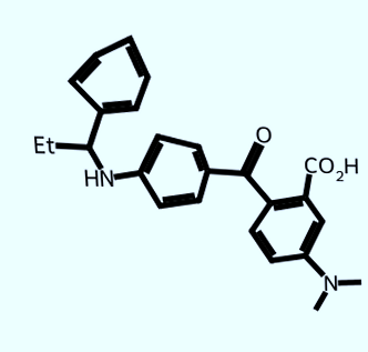 CCC(Nc1ccc(C(=O)c2ccc(N(C)C)cc2C(=O)O)cc1)c1ccccc1